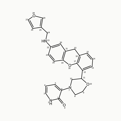 O=c1[nH]cccc1N1CCOC(c2cccc3c2Oc2ccc(NCc4ccoc4)cc2C3)C1